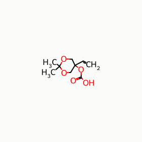 C=CC1(OC(=O)O)COC(C)(C)OC1